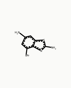 CCCc1cc(N)cc2sc(N)nc12